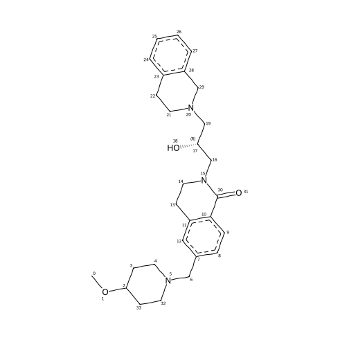 COC1CCN(Cc2ccc3c(c2)CCN(C[C@H](O)CN2CCc4ccccc4C2)C3=O)CC1